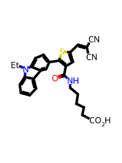 CCn1c2ccccc2c2cc(-c3sc(C=C(C#N)C#N)cc3C(=O)NCCCCCC(=O)O)ccc21